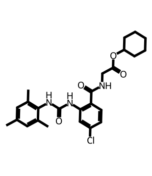 Cc1cc(C)c(NC(=O)Nc2cc(Cl)ccc2C(=O)NCC(=O)OC2CCCCC2)c(C)c1